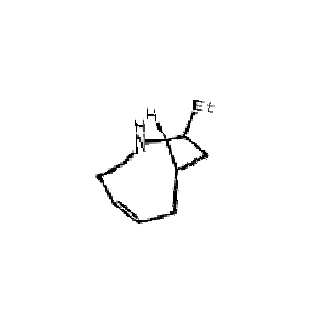 CCC1CC2CC=CCN[C@H]12